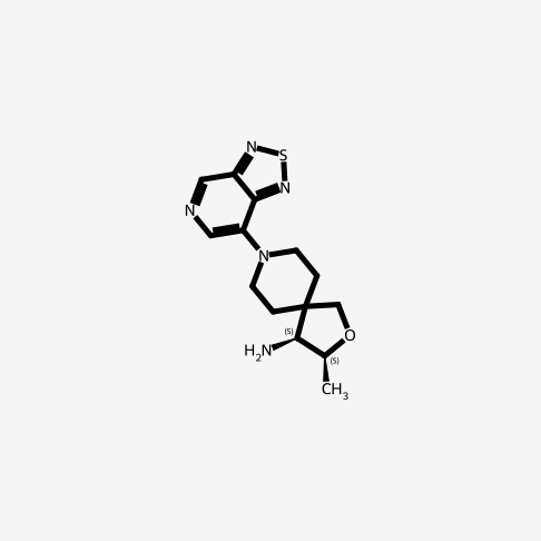 C[C@@H]1OCC2(CCN(c3cncc4nsnc34)CC2)[C@@H]1N